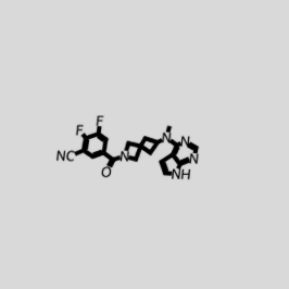 CN(c1ncnc2[nH]ccc12)C1CC2(C1)CN(C(=O)c1cc(F)c(F)c(C#N)c1)C2